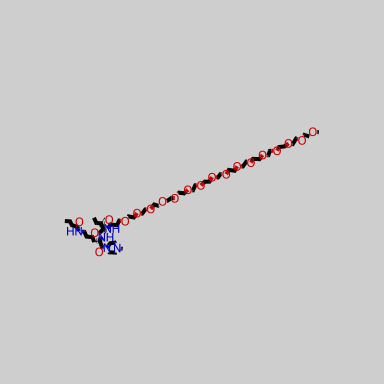 CCCC(=O)NCCCC[C@H](NC(=O)[C@@H](NC(=O)CCOCCOCCOCCOCCOCCOCCOCCOCCOCCOCCOCCOCCOCCOCCOCCOC)[C@@H](C)CC)C(=O)N1CCN(C)CC1